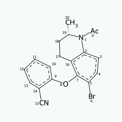 CC(=O)N1c2ccc(Br)c(Oc3ccccc3C#N)c2CC[C@@H]1C